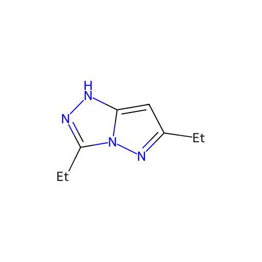 CCc1cc2[nH]nc(CC)n2n1